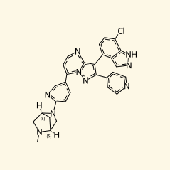 CN1C[C@@H]2C[C@H]1CN2c1ccc(-c2ccnc3c(-c4ccc(Cl)c5[nH]ncc45)c(-c4ccncc4)nn23)cn1